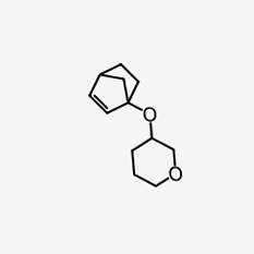 C1=CC2(OC3CCCOC3)CCC1C2